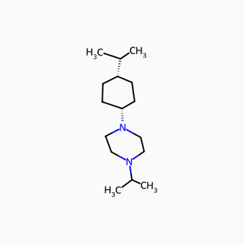 CC(C)N1CCN([C@H]2CC[C@@H](C(C)C)CC2)CC1